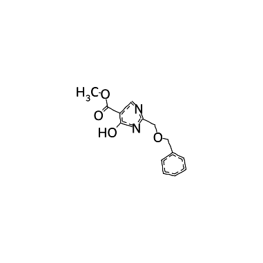 COC(=O)c1cnc(COCc2ccccc2)nc1O